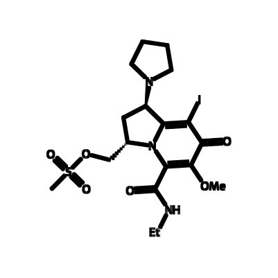 CCNC(=O)c1c(OC)c(=O)c(I)c2n1[C@H](COS(C)(=O)=O)C[C@H]2N1CCCC1